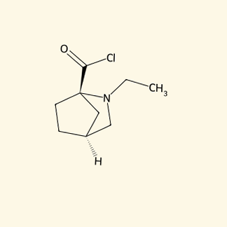 CCN1C[C@H]2CC[C@@]1(C(=O)Cl)C2